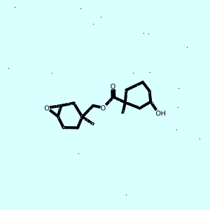 CC1(COC(=O)C2(C)CCCC(O)C2)CCC2OC2C1